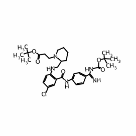 CC(C)(C)OC(=O)CCN1CCCCC1CNc1ccc(Cl)cc1C(=O)Nc1ccc(C(=N)NC(=O)OC(C)(C)C)cc1